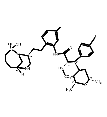 C[C@@H]1CC([C@H](c2ccc(F)cc2)[C@H](NC(=O)O)C(=O)Nc2cc(F)ccc2CC[C@H]2CN[C@@H]3CCCS(O)(O)N2C3)C[C@H](C)O1